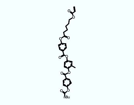 C=CC(=O)OCCCCCC(=O)Oc1ccc(C(=O)Oc2ccc(OC(=O)c3ccc(OC(=O)CCCC)cc3)c(C)c2)cc1